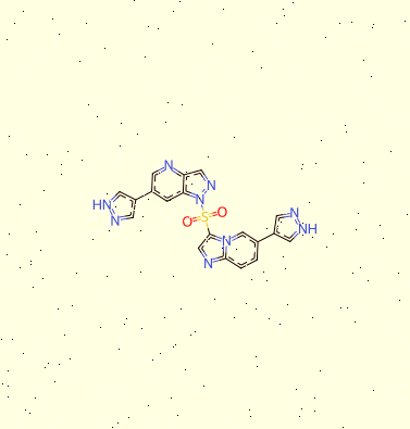 O=S(=O)(c1cnc2ccc(-c3cn[nH]c3)cn12)n1ncc2ncc(-c3cn[nH]c3)cc21